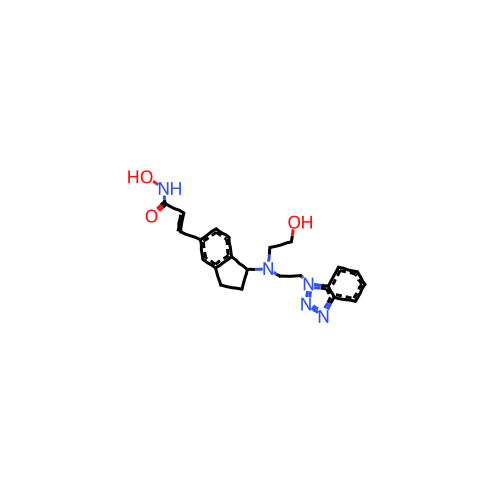 O=C(C=Cc1ccc2c(c1)CCC2N(CCO)CCn1nnc2ccccc21)NO